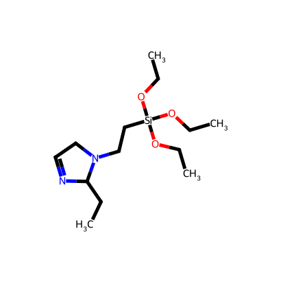 CCO[Si](CCN1CC=NC1CC)(OCC)OCC